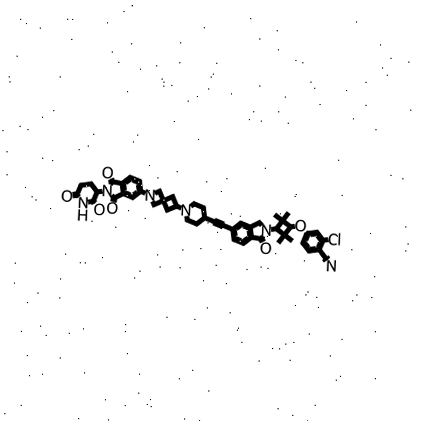 CC1(C)C(Oc2ccc(C#N)c(Cl)c2)C(C)(C)C1N1Cc2cc(C#CC3CCN(C4CC5(C4)CN(c4ccc6c(c4)C(=O)N(C4CCC(=O)NC4=O)C6=O)C5)CC3)ccc2C1=O